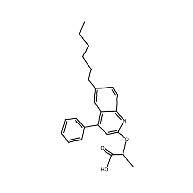 CCCCCCc1ccc2nc(OC(C)C(=O)O)cc(-c3ccccc3)c2c1